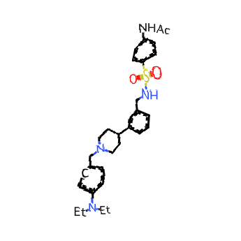 CCN(CC)c1ccc(CN2CCC(c3cccc(CNS(=O)(=O)c4ccc(NC(C)=O)cc4)c3)CC2)cc1